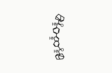 O=C(NC12CC3CC(CC(C3)C1)C2)c1ccc2[nH]c(-c3ccc(NC(=O)C45CC6CC(CC(C6)C4)C5)cc3)cc2c1